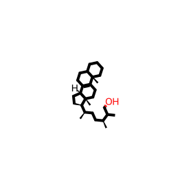 CC(CO)[C@@H](C)CC[C@@H](C)[C@H]1CC[C@H]2C3=C(CC[C@]12C)[C@@]1(C)CCCCC1CC3